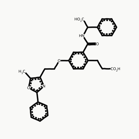 Cc1oc(-c2ccccc2)nc1CCOc1ccc(CCC(=O)O)c(C(=O)NC(C(=O)O)c2ccccc2)c1